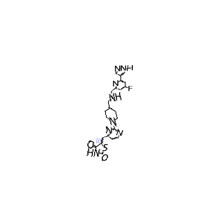 O=C1NC(=O)/C(=C/c2ccnc(N3CCC(CNCc4cc(F)cc(-c5cn[nH]c5)n4)CC3)n2)S1